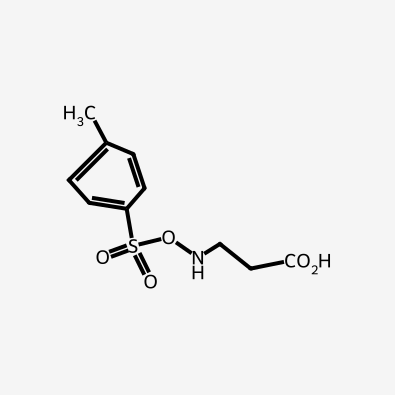 Cc1ccc(S(=O)(=O)ONCCC(=O)O)cc1